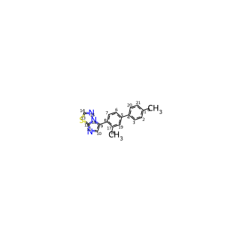 Cc1ccc(-c2ccc(-c3cnc4scnn34)c(C)c2)cc1